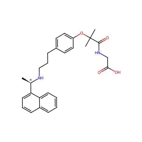 C[C@@H](NCCCc1ccc(OC(C)(C)C(=O)NCC(=O)O)cc1)c1cccc2ccccc12